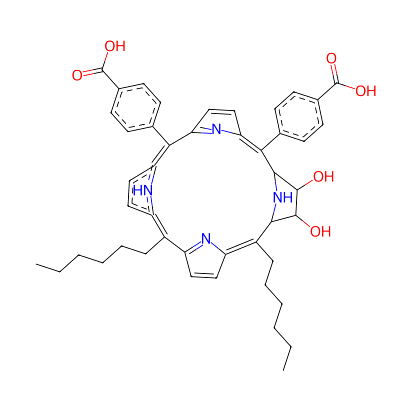 CCCCCCC1=C2C=CC(=N2)C(CCCCCC)=c2ccc([nH]2)=C(c2ccc(C(=O)O)cc2)C2=NC(=C(c3ccc(C(=O)O)cc3)C3NC1C(O)C3O)C=C2